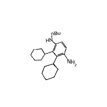 CCCCNc1ccc(N)c(C2CCCCC2)c1C1CCCCC1